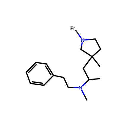 CC(CC1(C)CCN(C(C)C)C1)N(C)CCc1ccccc1